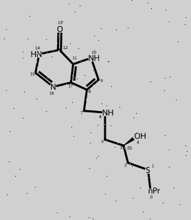 CCCSC[C@H](O)CNCc1c[nH]c2c(=O)[nH]cnc12